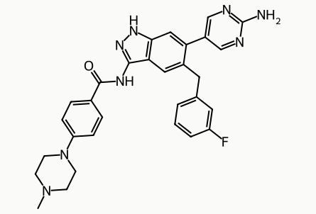 CN1CCN(c2ccc(C(=O)Nc3n[nH]c4cc(-c5cnc(N)nc5)c(Cc5cccc(F)c5)cc34)cc2)CC1